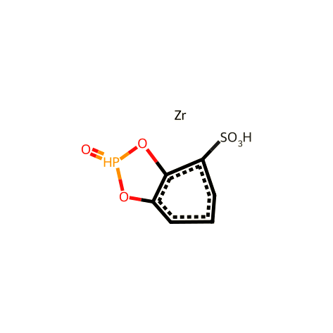 O=[PH]1Oc2cccc(S(=O)(=O)O)c2O1.[Zr]